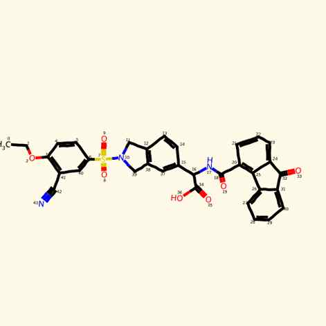 CCOc1ccc(S(=O)(=O)N2Cc3ccc(C(NC(=O)c4cccc5c4-c4ccccc4C5=O)C(=O)O)cc3C2)cc1C#N